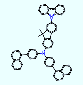 CC1(C)c2cc(N(c3ccc(-c4cccc5ccccc45)cc3)c3ccc(-c4cccc5ccccc45)cc3)ccc2-c2ccc(-n3c4ccccc4c4ccccc43)cc21